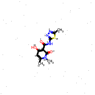 Cc1nnc(NC(=O)c2c(O)cc(C)n(C)c2=O)s1